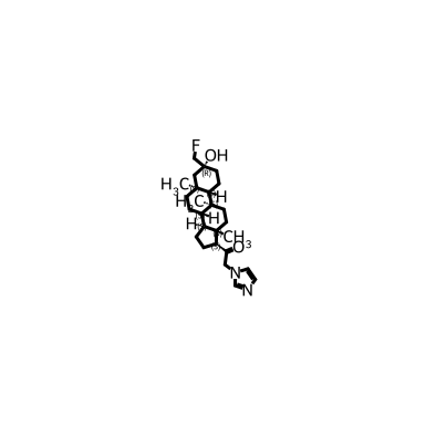 C[C@@]12CC[C@H]3[C@@H]4CC[C@H](C(=O)Cn5ccnc5)[C@@]4(C)CC[C@]3(C)[C@H]1CC[C@](O)(CF)C2